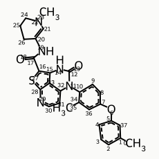 Cc1cccc(Oc2ccc(N3C(=O)Nc4c(C(=O)NC5=CN(C)CCC5)sc5nccc3c45)c(C)c2)c1